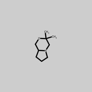 CC1(C)CN2CCCC2CO1